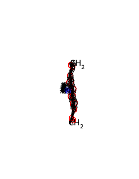 C=CC(=O)OCCCCCCOc1ccc(OC(=O)C2CCC(C(=O)Oc3ccc(OC(=O)C4CCC(C(=O)Oc5ccc(OCCCCCCOC(=O)C=C)cc5)CC4)c(/C=N/N=C/c4c5ccccc5cc5ccccc45)c3)CC2)cc1